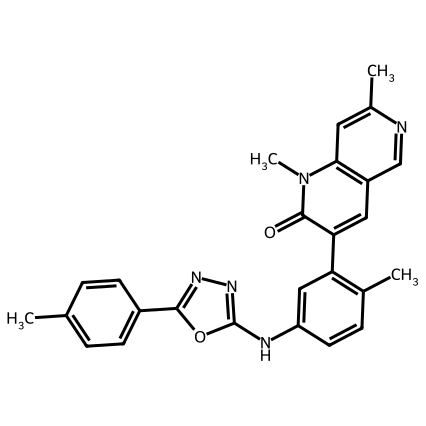 Cc1ccc(-c2nnc(Nc3ccc(C)c(-c4cc5cnc(C)cc5n(C)c4=O)c3)o2)cc1